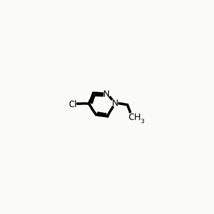 CCN1C=CC(Cl)=C=N1